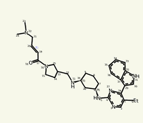 CCc1cnc(N[C@@H]2CCC[C@H](NCC3CCN(C(=O)/C=C/CN(C)C)C3)C2)nc1-c1c[nH]c2ccccc12